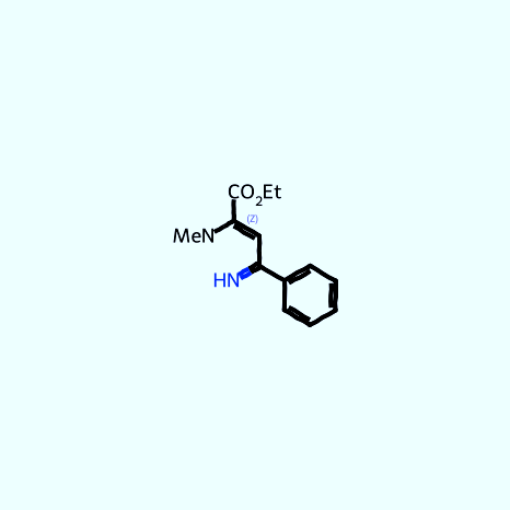 CCOC(=O)/C(=C/C(=N)c1ccccc1)NC